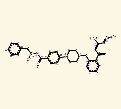 C=C(/C=C(O)\C=N\CC)c1ccccc1CN1CCN(c2ccc(C(=O)N[S+]([O-])Cc3ccccc3)cc2)CC1